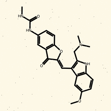 CNC(=O)Nc1ccc2c(c1)C(=O)/C(=C/c1c(CN(C)C)[nH]c3ccc(OC)cc13)O2